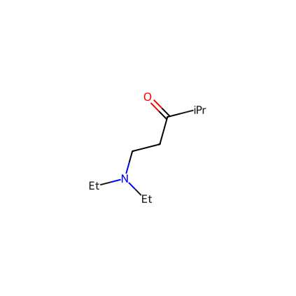 CCN(CC)CCC(=O)C(C)C